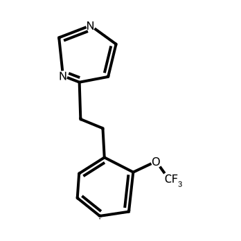 FC(F)(F)Oc1c[c]ccc1CCc1ccncn1